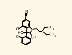 CCN(CC)CCN1c2cc(C#N)cc(Cl)c2C(O)(c2ccccc2Cl)C1O